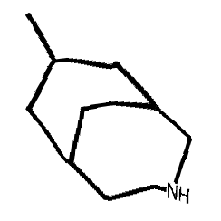 CC1CC2CNCC(C1)C2